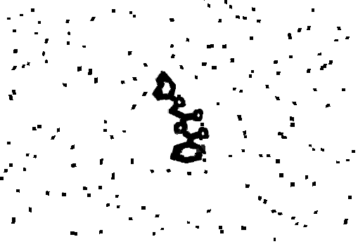 O=C(COc1ccccc1)OC(=O)c1ccccn1